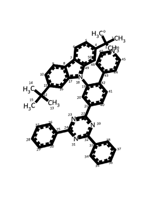 CC(C)(C)c1ccc2c3ccc(C(C)(C)C)cc3n(-c3cc(-c4nc(-c5ccccc5)nc(-c5ccccc5)n4)ccc3-c3ccncc3)c2c1